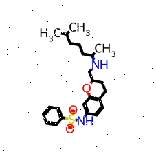 CC(C)CCCC(C)NCC1CCc2ccc(NS(=O)(=O)c3ccccc3)cc2O1